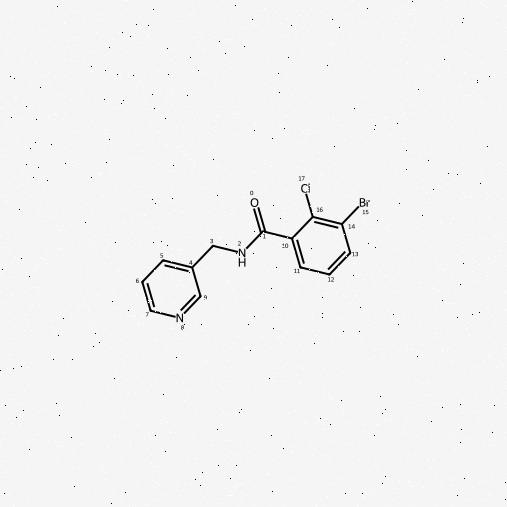 O=C(NCc1cccnc1)c1cccc(Br)c1Cl